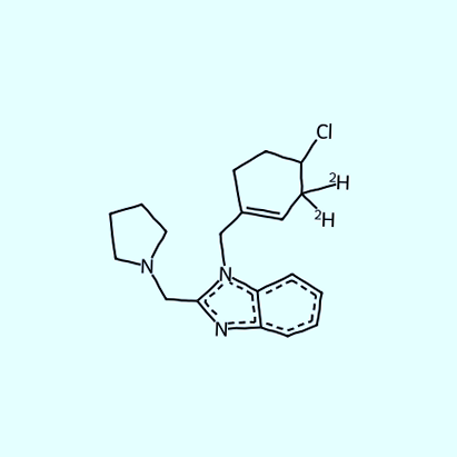 [2H]C1([2H])C=C(Cn2c(CN3CCCC3)nc3ccccc32)CCC1Cl